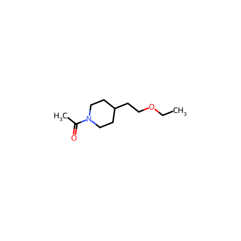 CCOCCC1CCN(C(C)=O)CC1